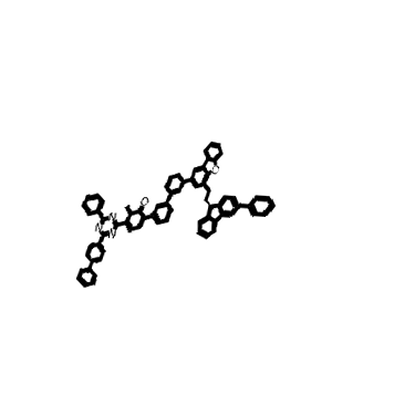 CC1C(=O)C(c2cccc(C3=CC(c4cc(CC[C@@H]5c6ccccc6-c6cc(-c7ccccc7)ccc65)c5oc6ccccc6c5c4)CC=C3)c2)=CC=C1c1nc(-c2ccccc2)nc(-c2ccc(-c3ccccc3)cc2)n1